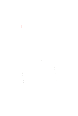 OCCC1CCC=CCCC1